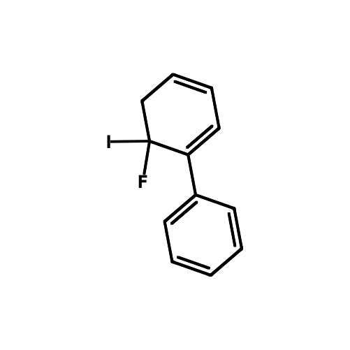 FC1(I)CC=CC=C1c1ccccc1